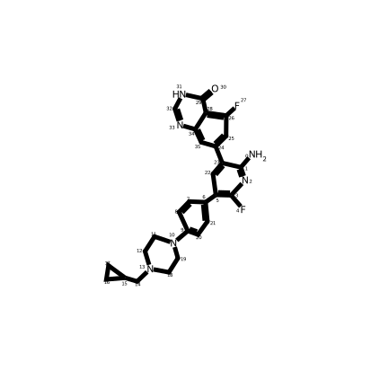 Nc1nc(F)c(-c2ccc(N3CCN(CC4CC4)CC3)cc2)cc1-c1cc(F)c2c(=O)[nH]cnc2c1